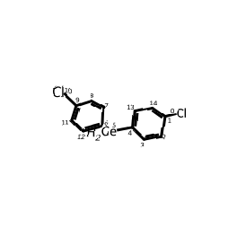 Clc1cc[c]([GeH2][c]2ccc(Cl)cc2)cc1